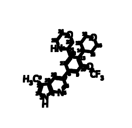 Cc1c[nH]c2ncc(-c3cc(OC(F)(F)F)c(C4CCOCC4)c(C4COCCN4)c3)cc12